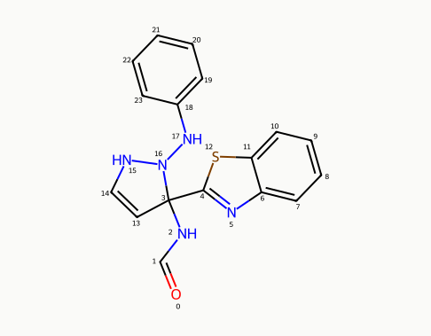 O=CNC1(c2nc3ccccc3s2)C=CNN1Nc1ccccc1